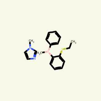 CCSc1ccccc1B(C)c1ccccc1.Cn1ccnc1